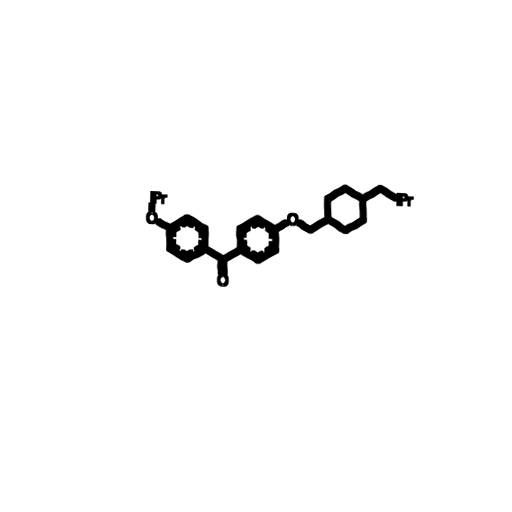 CC(C)CC1CCC(COc2ccc(C(=O)c3ccc(OC(C)C)cc3)cc2)CC1